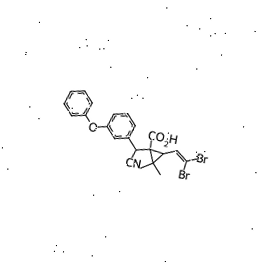 CC1(C)C(C=C(Br)Br)C1(C(=O)O)C(C#N)c1cccc(Oc2ccccc2)c1